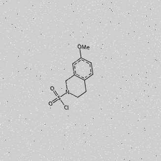 COc1ccc2c(c1)CN(S(=O)(=O)Cl)CC2